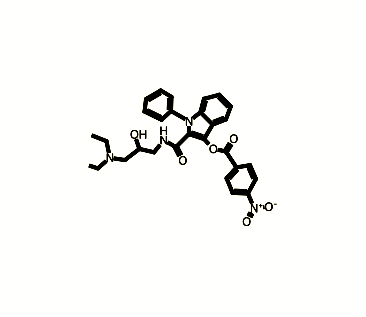 CCN(CC)CC(O)CNC(=O)c1c(OC(=O)c2ccc([N+](=O)[O-])cc2)c2ccccc2n1-c1ccccc1